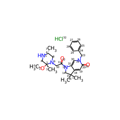 CO[C@]1(C)CN[C@H](C)CN1CC(=O)N1CC(C)(C)c2cc(=O)n(Cc3ccccc3)cc21.Cl